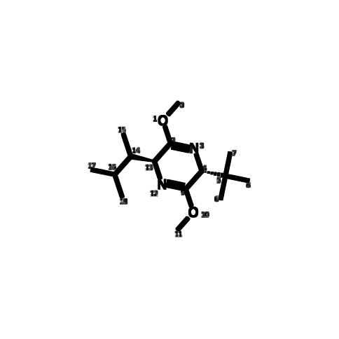 COC1=N[C@H](C(C)(C)C)C(OC)=N[C@H]1C(C)C(C)C